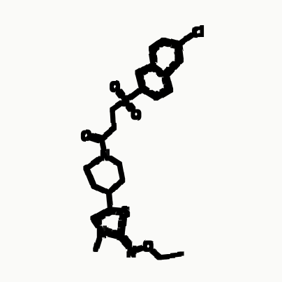 CCO/N=c1\sc(C2CCN(C(=O)CCS(=O)(=O)c3ccc4cc(Cl)ccc4c3)CC2)cn1C